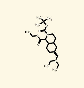 CCOC(=O)C1C2CCC(=CP(CC)CC)CC2CCN1C(=O)OC(C)(C)C